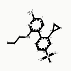 CCCNc1nc(N)ncc1-c1ccc(S(C)(=O)=O)cc1C1CC1